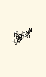 COc1ccc(OC(F)(F)F)cc1S(=O)(=O)c1ccc(CNC(=O)c2cc3cnccc3[nH]2)cc1